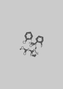 COC(=O)Sc1ncnn1C[C@]1(c2ccccc2F)O[C@@H]1c1ccccc1Cl